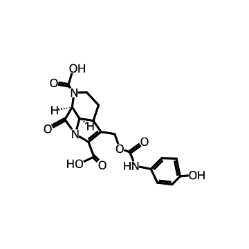 O=C(Nc1ccc(O)cc1)OCC1=C(C(=O)O)N2C(=O)[C@@H]3[C@H]2C1CCN3C(=O)O